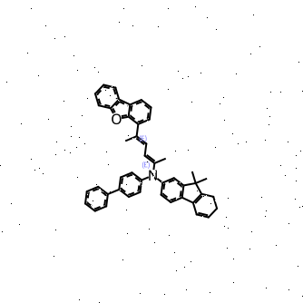 C/C(=C\C=C(/C)N(c1ccc(-c2ccccc2)cc1)c1ccc2c(c1)C(C)(C)C1=C2C=CCC1)c1cccc2c1oc1ccccc12